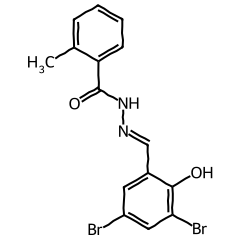 Cc1ccccc1C(=O)N/N=C/c1cc(Br)cc(Br)c1O